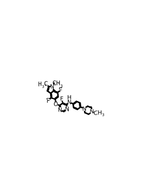 Cc1cc2c(F)c(Oc3ncnc(Nc4ccc(N5CCN(C)CC5)cc4)c3F)cc(F)c2n1C